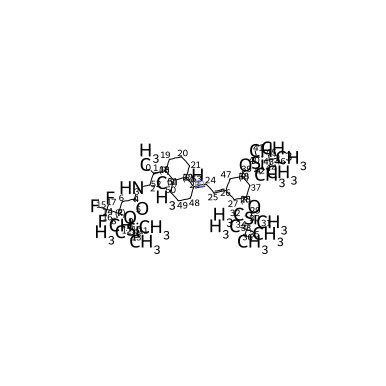 CC(CNC(=O)C[C@@](C)(O[Si](C)(C)C)C(F)(F)F)[C@H]1CCC[C@H]2/C(=C/C=C3C[C@@H](O[Si](C)(C)C(C)(C)C)C[C@H](O[Si](C)(C)C(C)(C)C)C3)CCC[C@@]12C